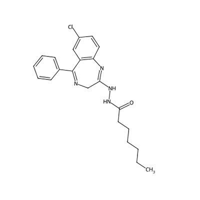 CCCCCCC(=O)NNC1=Nc2ccc(Cl)cc2C(c2ccccc2)=NC1